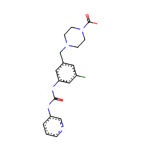 O=C(Nc1cccnc1)Nc1cc(F)cc(CN2CCN(C(=O)O)CC2)c1